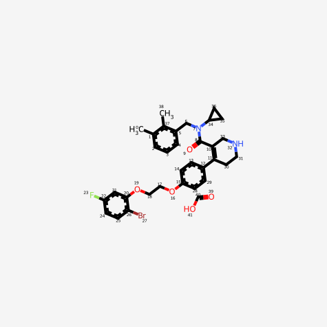 Cc1cccc(CN(C(=O)C2=C(c3ccc(OCCOc4cc(F)ccc4Br)cc3)CCNC2)C2CC2)c1C.O=CO